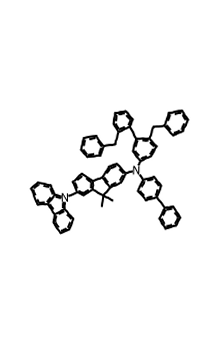 CC1(C)c2cc(N(c3ccc(-c4ccccc4)cc3)c3ccc(Cc4ccccc4)c(-c4ccccc4Cc4ccccc4)c3)ccc2-c2ccc(-n3c4ccccc4c4ccccc43)cc21